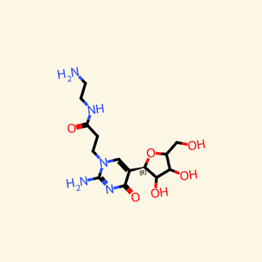 NCCNC(=O)CCn1cc([C@H]2OC(CO)C(O)C2O)c(=O)nc1N